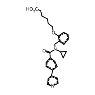 O=C(O)CCCCCOc1ccccc1CN(C(=O)c1ccc(-c2ccncc2)cc1)C1CC1